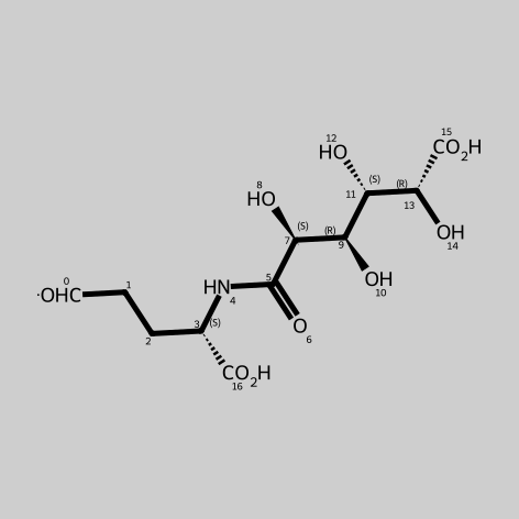 O=[C]CC[C@H](NC(=O)[C@@H](O)[C@H](O)[C@H](O)[C@@H](O)C(=O)O)C(=O)O